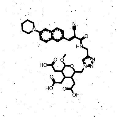 COC1OC(Cn2cc(CNC(=O)/C(C#N)=C/c3ccc4cc(N5CCCCC5)ccc4c3)nn2)C(CC(=O)O)C(CC(=O)O)C1CC(=O)O